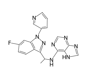 CC(Nc1ncnc2nc[nH]c12)c1nn(-c2cccnc2)c2cc(F)ccc12